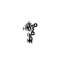 O=C(c1cccc(OCC2c3ccccc3CN2c2cn[nH]c(=O)c2C(F)(F)F)c1)N1CCn2ncnc2C1